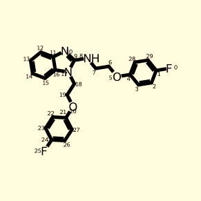 Fc1ccc(OCCNc2nc3ccccc3n2CCOc2ccc(F)cc2)cc1